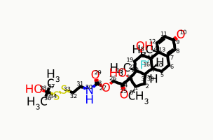 C[C@H]1C[C@@H]2[C@H]3CCC4=CC(=O)C=C[C@@]4(C)[C@]3(F)[C@H](O)C[C@@]2(C)[C@]1(O)C(=O)COC(=O)NCCSSC(C)(C)O